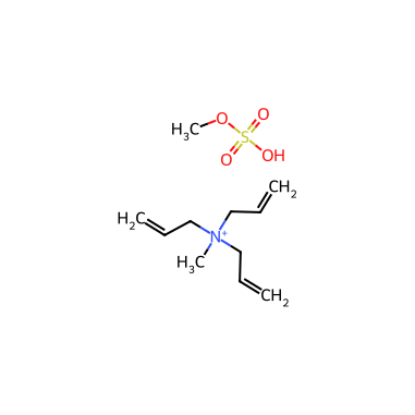 C=CC[N+](C)(CC=C)CC=C.COS(=O)(=O)O